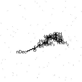 CCCCCCCCCCCCCCCCC(=O)SCCNC(=O)CCNC(=O)[C@H](O)C(C)(C)COP(=O)(O)OP(=O)(O)OC[C@H]1O[C@@H](n2cnc3c(N)ncnc32)[C@H](O)[C@@H]1OP(=O)(O)O.[Li]